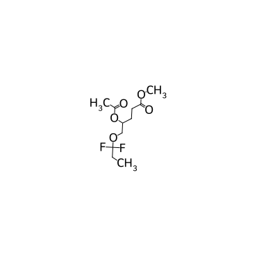 CCC(F)(F)OCC(CCC(=O)OC)OC(C)=O